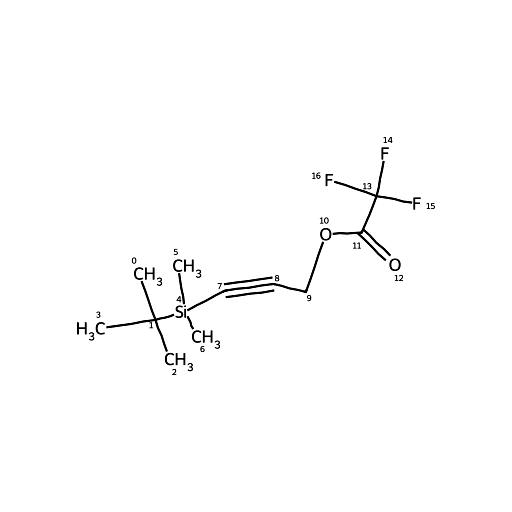 CC(C)(C)[Si](C)(C)C#CCOC(=O)C(F)(F)F